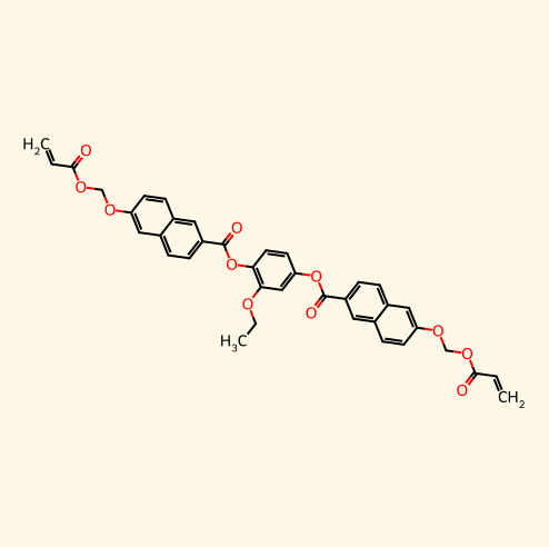 C=CC(=O)OCOc1ccc2cc(C(=O)Oc3ccc(OC(=O)c4ccc5cc(OCOC(=O)C=C)ccc5c4)c(OCC)c3)ccc2c1